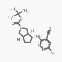 CC(C)(C)OC(=O)N1C[C@@H]2CC[C@@H](Nc3nnc(Cl)cc3C#N)[C@@H]2C1